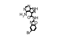 Nc1ncnc2[nH]nc(C(=O)Nc3nc4cc(Br)ccc4o3)c12